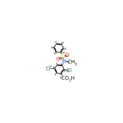 CN(c1cc(Cl)cc(C(=O)O)c1Cl)S(=O)(=O)c1ccccc1